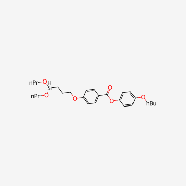 CCCCOc1ccc(OC(=O)c2ccc(OCCC[SiH](OCCC)OCCC)cc2)cc1